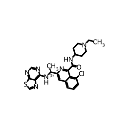 CCN1CCC(NC(=O)c2nc([C@H](C)Nc3ncnc4scnc34)cc3cccc(Cl)c23)CC1